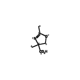 CC1=NC(C)(C(=O)O)CO1